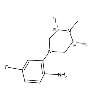 C[C@@H]1CN(c2cc(F)ccc2N)C[C@H](C)N1C